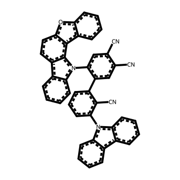 N#Cc1cc(-c2cccc(-n3c4ccccc4c4ccccc43)c2C#N)c(-n2c3ccccc3c3ccc4oc5ccccc5c4c32)cc1C#N